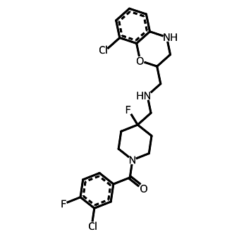 O=C(c1ccc(F)c(Cl)c1)N1CCC(F)(CNCC2CNc3cccc(Cl)c3O2)CC1